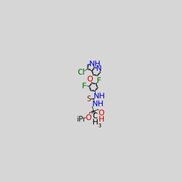 CC(C)OC[C@@](C)(CO)CNC(=S)Nc1cc(F)c(Oc2ccnc3[nH]cc(Cl)c23)c(F)c1